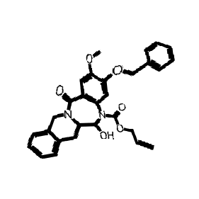 C=CCOC(=O)N1c2cc(OCc3ccccc3)c(OC)cc2C(=O)N2Cc3ccccc3CC2C1O